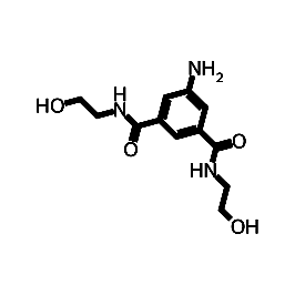 Nc1cc(C(=O)NCCO)cc(C(=O)NCCO)c1